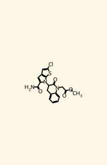 COC(=O)CN1C(=O)C(n2c(C(N)=O)cc3cc(Cl)sc32)Cc2ccccc21